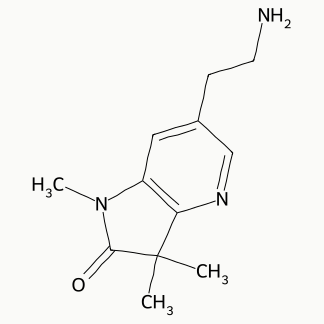 CN1C(=O)C(C)(C)c2ncc(CCN)cc21